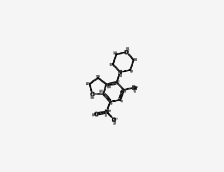 O=[N+]([O-])c1cc(Br)c(N2CCOCC2)c2c1OCC2